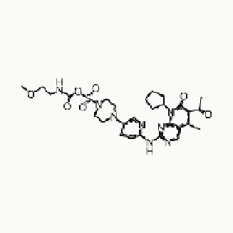 COCCNC(=O)OS(=O)(=O)N1CCN(c2ccc(Nc3ncc4c(C)c(C(C)=O)c(=O)n(C5CCCC5)c4n3)nc2)CC1